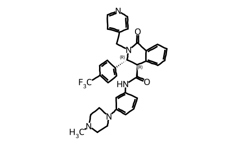 CN1CCN(c2cccc(NC(=O)[C@@H]3c4ccccc4C(=O)N(Cc4ccncc4)[C@H]3c3ccc(C(F)(F)F)cc3)c2)CC1